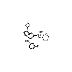 O[C@@H]1OCCC[C@H]1CNc1cc(Nc2cccc(F)c2)n2ncc(C3CCC3)c2n1